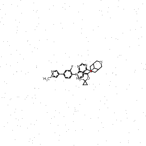 Cn1cc(-c2ccc(-n3ncc4c(OC5C6COCC5CN(C(=O)OC5(C)CC5)C6)ncnc43)c(F)c2)cn1